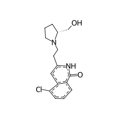 O=c1[nH]c(CCN2CCC[C@@H]2CO)cc2c(Cl)cccc12